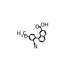 COc1ccc(-c2cccc3ccc(C(=O)O)cc23)c(C#N)c1